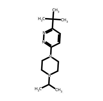 CC(C)N1CCN(c2ccc(C(C)(C)C)nn2)CC1